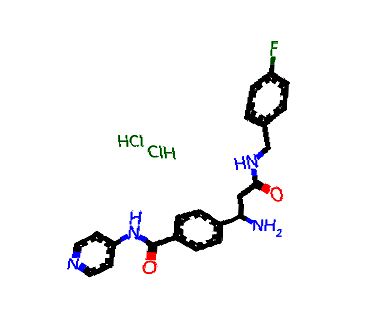 Cl.Cl.NC(CC(=O)NCc1ccc(F)cc1)c1ccc(C(=O)Nc2ccncc2)cc1